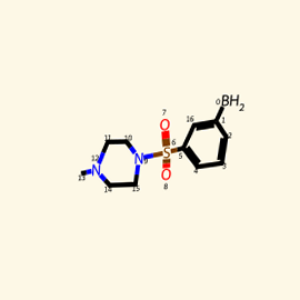 Bc1cccc(S(=O)(=O)N2CCN(C)CC2)c1